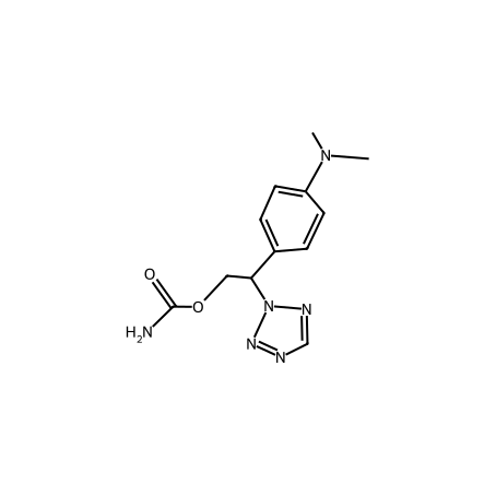 CN(C)c1ccc(C(COC(N)=O)n2ncnn2)cc1